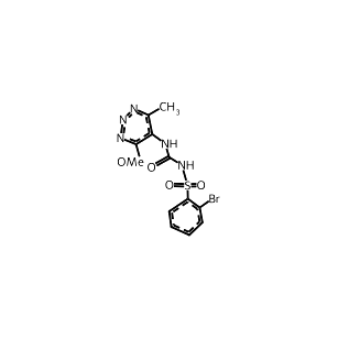 COc1nnnc(C)c1NC(=O)NS(=O)(=O)c1ccccc1Br